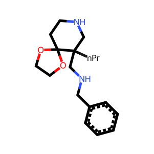 CCCC1(CNCc2ccccc2)CNCCC12OCCO2